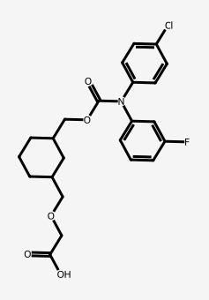 O=C(O)COCC1CCCC(COC(=O)N(c2ccc(Cl)cc2)c2cccc(F)c2)C1